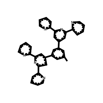 Cc1cc(-c2cc(-c3ccccn3)nc(-c3ccccn3)c2)cc(-c2cc(-c3ccccn3)nc(-c3ccccn3)c2)c1